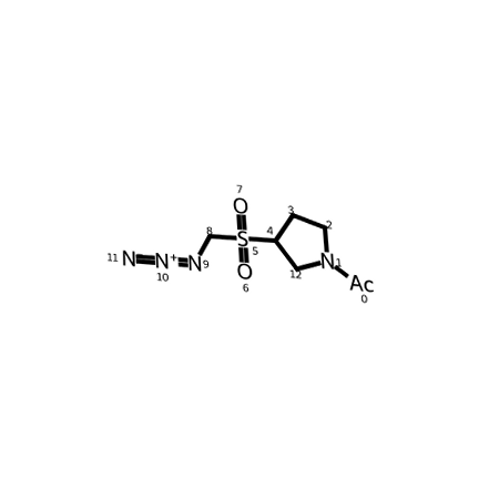 CC(=O)N1CCC(S(=O)(=O)CN=[N+]=[N-])C1